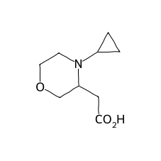 O=C(O)CC1COCCN1C1CC1